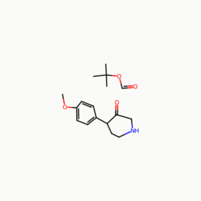 CC(C)(C)OC=O.COc1ccc(C2CCNCC2=O)cc1